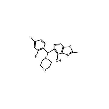 Cc1cnc(C(c2ccc3sc(C)nc3c2O)N2CCOCC2)c(F)c1